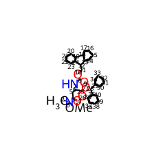 CON(C)C(=O)CC(NC(=O)OCC1c2ccccc2-c2ccccc21)C(=O)OC(c1ccccc1)c1ccccc1